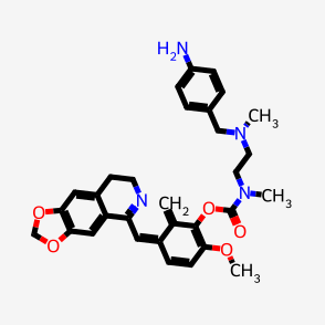 C=c1c(OC(=O)N(C)CCN(C)Cc2ccc(N)cc2)c(OC)cc/c1=C/C1=NCCc2cc3c(cc21)OCO3